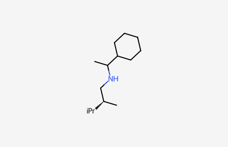 CC(NC[C@@H](C)C(C)C)C1CCCCC1